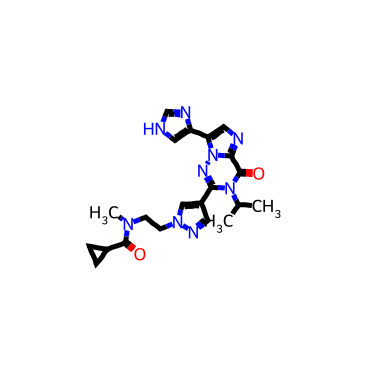 CC(C)n1c(-c2cnn(CCN(C)C(=O)C3CC3)c2)nn2c(-c3c[nH]cn3)cnc2c1=O